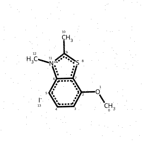 COc1cccc2c1sc(C)[n+]2C.[I-]